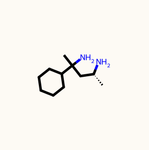 C[C@@H](N)CC(C)(N)C1CCCCC1